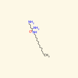 CCCCCCCCCCCCCCNC(=O)C(N)CCCN